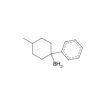 BC1(c2ccccc2)CCC(C)CC1